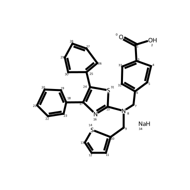 O=C(O)c1ccc(CN(Cc2cccs2)c2nc(-c3ccccc3)c(-c3ccccc3)s2)cc1.[NaH]